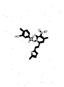 Cc1ccc(C=Cc2cc(C)c([N+](=O)[O-])c(=O)n2OS(=O)(=O)c2ccc(C)c(O)c2)o1